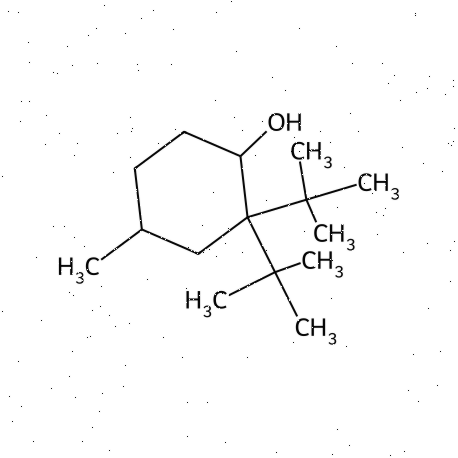 CC1CCC(O)C(C(C)(C)C)(C(C)(C)C)C1